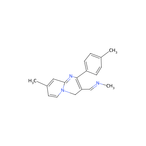 C/N=C/C1=C(c2ccc(C)cc2)N=C2C=C(C)C=CN2C1